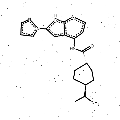 CC(N)[C@H]1CC[C@H](C(=O)Nc2ccnc3[nH]c(-n4cccn4)cc23)CC1